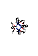 CCCCOc1c2c(c(OCCCC)c3ccccc13)-c1nc-2nc2[nH]c(nc3nc(nc4[nH]c(n1)c1c(C)c5cc6ccccc6cc5c(OCCCC)c41)-c1c-3c(OCCCC)c3cc4ccccc4cc3c1OCCCC)c1c(OCCCC)c3ccccc3c(C)c21